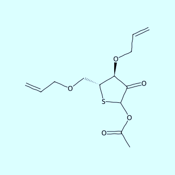 C=CCOC[C@H]1SC(OC(C)=O)C(=O)[C@@H]1OCC=C